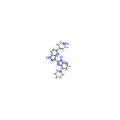 C1=C(c2ccc3[nH]nc(-c4nc5c(N6CCCCC6)ccnc5[nH]4)c3n2)CCNC1